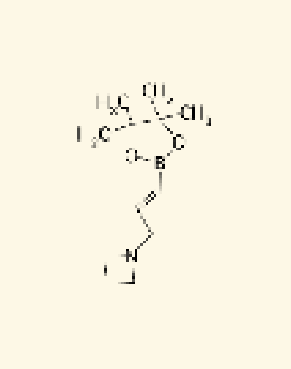 CC1(C)OB(/C=C/CN2CCC2)OC1(C)C